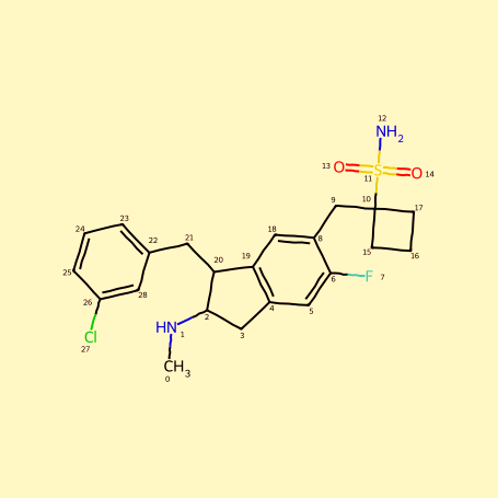 CNC1Cc2cc(F)c(CC3(S(N)(=O)=O)CCC3)cc2C1Cc1cccc(Cl)c1